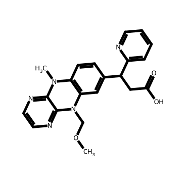 COCN1c2cc(C(CC(=O)O)c3ccccn3)ccc2N(C)c2nccnc21